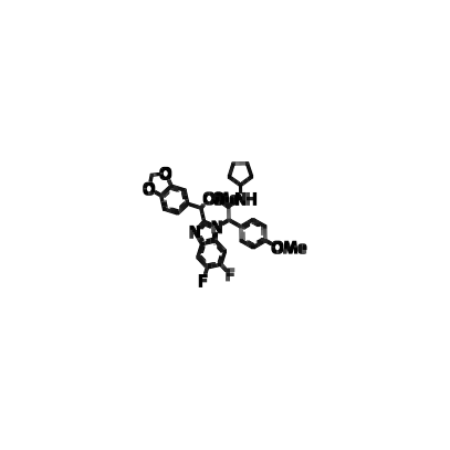 COc1ccc(C(C(=O)NC2CCCC2)n2c(C(OC)c3ccc4c(c3)OCO4)nc3cc(F)c(F)cc32)cc1